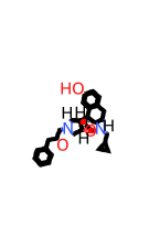 O=C(Cc1ccccc1)CN1C[C@H]2O[C@@]34CC[C@@H]1[C@@H]2[C@@]31CCN(CC2CC2)[C@@H]4Cc2ccc(O)cc21